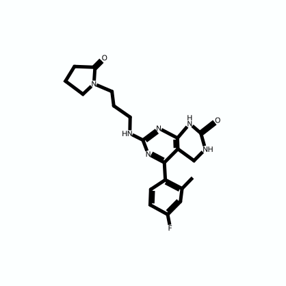 Cc1cc(F)ccc1-c1nc(NCCCN2CCCC2=O)nc2c1CNC(=O)N2